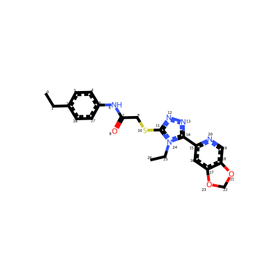 CCc1ccc(NC(=O)CSc2nnc(-c3cc4c(cn3)OCO4)n2CC)cc1